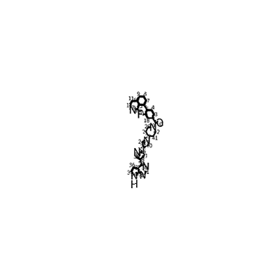 O=C(c1ccc(-c2cccc3ccncc23)c(F)c1)N1CCC(N2C[C](n3cc(-c4ncnc5[nH]ccc45)cn3)C2)CC1